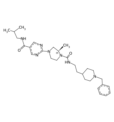 CC(C)CNC(=O)c1cnc(N2CCN(C(=O)NCCC3CCN(Cc4ccccc4)CC3)[C@H](C)C2)nc1